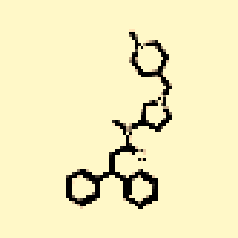 CN1CCC(CN2CCC(N(C)C(=O)CC(c3ccccc3)c3ccccc3)C2)CC1